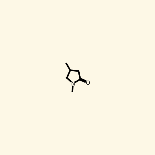 CC1[CH]N(C)C(=O)C1